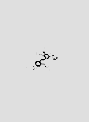 CON=Cc1cc(NS(C)(=O)=O)ccc1C=Cc1cc(-n2ccc(=O)[nH]c2=O)cc(C(C)(C)C)c1OC